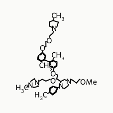 COCCCN1CCN(c2ccc(C)cc2)C(C(COc2ccc(C)c(-c3cc(OCCOCCN4CCC(C)CC4)ccc3C)c2)OCCCN2CCN(C)CC2)C1